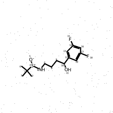 CC(C)(C)[S@@+]([O-])NCCC[C@H](O)c1cc(F)cc(F)c1